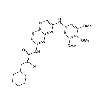 COc1cc(Nc2cnc3ccc(NC(=O)N(S)CC4CCCCC4)nc3n2)cc(OC)c1OC